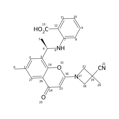 Cc1cc([C@@H](C)Nc2ccccc2C(=O)O)c2oc(N3CC(C)(C#N)C3)cc(=O)c2c1